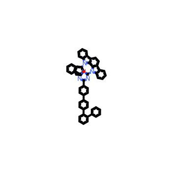 c1ccc(-c2nc(-c3ccc(-c4ccc(-c5ccccc5-c5ccccc5)cc4)cc3)nc(-n3c4ccccc4c4ccc5c6ccccc6n(-c6ccccc6)c5c43)n2)cc1